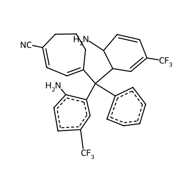 N#CC1=CC=C(C(c2ccccc2)(c2cc(C(F)(F)F)ccc2N)C2C=C(C(F)(F)F)C=CC2N)CCC1